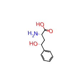 N[C@@H](C[C@@H](O)c1ccccc1)C(=O)O